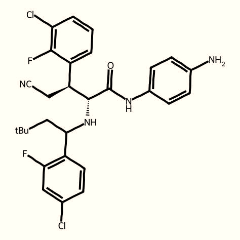 CC(C)(C)CC(N[C@@H](C(=O)Nc1ccc(N)cc1)[C@@H](CC#N)c1cccc(Cl)c1F)c1ccc(Cl)cc1F